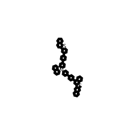 c1ccc2cc3c(cc2c1)sc1c2ccccc2c(-c2ccc(-c4ccc(N(c5ccc(-c6ccc(-c7ccc8sc9c%10ccccc%10ccc9c8c7)cc6)cc5)c5cccc6ccccc56)cc4)cc2)cc31